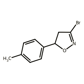 Cc1ccc(C2CC(Br)=NO2)cc1